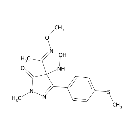 CO/N=C(\C)C1(NO)C(=O)N(C)N=C1c1ccc(SC)cc1